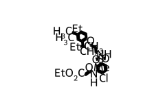 CCOC(=O)/C=C(/Nc1cc(S(=O)(=O)NCCCOc2ccc(C(C)(C)CC)cc2C(C)(C)CC)ccc1Cl)OC